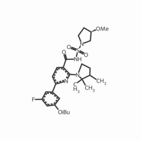 CO[C@@H]1CCN(S(=O)(=O)NC(=O)c2ccc(-c3cc(F)cc(OCC(C)C)c3)nc2N2CCC(C)C2(C)C)C1